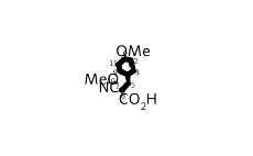 COc1ccc(/C=C(\C#N)C(=O)O)c(OC)c1